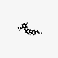 CCCO[C@H]1CC[C@](C)(N2CCC(Nc3cc(C)ccc3[N+](=O)[O-])CC2)CC1